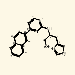 OC[C@H](Cc1c[nH]cn1)Nc1nccc(-c2ccc3ccccc3c2)n1